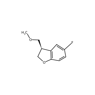 COC[C@@H]1COc2ccc(F)cc21